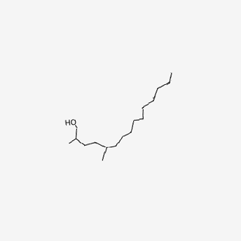 CCCCCCCCCCC(C)CCC(C)CO